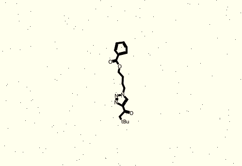 CC(C)(C)CC(=O)c1cn(CCCCOC(=O)c2ccccc2)nn1